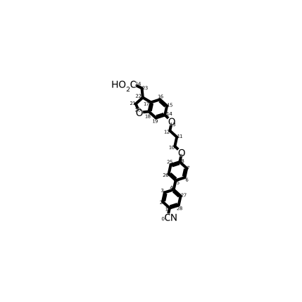 N#Cc1ccc(-c2ccc(OCCCOc3ccc4c(c3)OCC4CC(=O)O)cc2)cc1